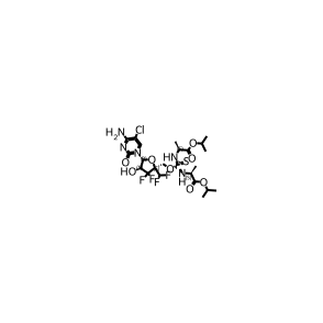 CC(C)OC(=O)[C@H](C)NP(=S)(N[C@@H](C)C(=O)OC(C)C)OC[C@@]1(C(F)F)O[C@@H](n2cc(Cl)c(N)nc2=O)[C@H](O)C1(F)F